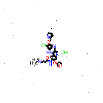 CN(C)C/C=C/C(=O)Nc1cc2c(Nc3ccc(OCc4ccccn4)c(Cl)c3)c(C#N)cnc2cc1OC1CCOC1.Cl